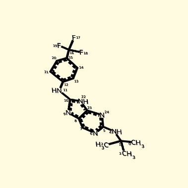 CC(C)(C)Nc1ncc2nc(Nc3ccc(C(F)(F)F)cc3)[nH]c2n1